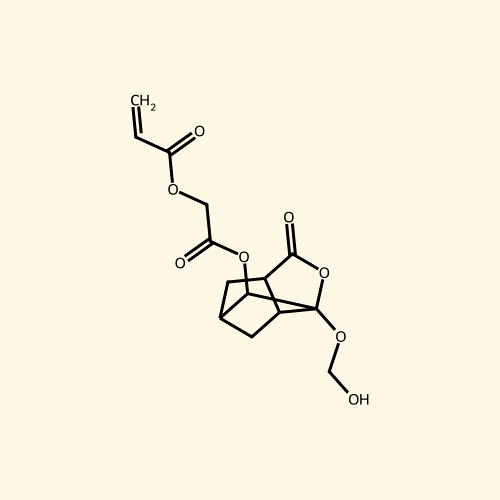 C=CC(=O)OCC(=O)OC1C2CC3C(=O)OC1(OCO)C3C2